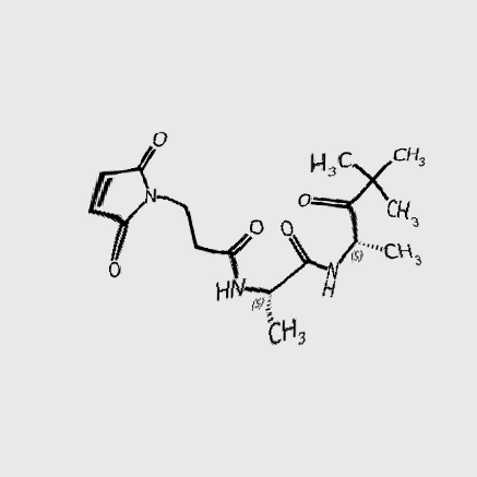 C[C@H](NC(=O)CCN1C(=O)C=CC1=O)C(=O)N[C@@H](C)C(=O)C(C)(C)C